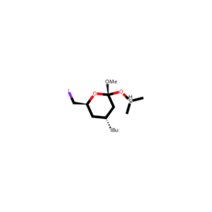 CO[C@@]1(O[SiH](C)C)C[C@H](C(C)(C)C)C[C@@H](CI)O1